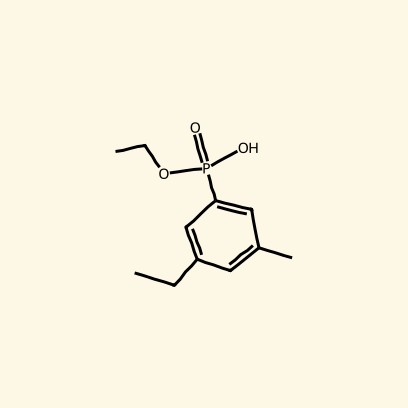 CCOP(=O)(O)c1cc(C)cc(CC)c1